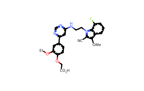 CCOc1cc(-c2cc(NCCn3c(C#N)c(OC)c4cccc(F)c43)ncn2)ccc1OCC(=O)O